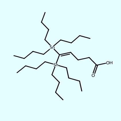 CCC[CH2][Sn]([CH2]CCC)([CH2]CCC)[C](=CCCC(=O)O)[Sn]([CH2]CCC)([CH2]CCC)[CH2]CCC